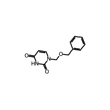 O=c1ccn(COCc2ccccc2)c(=O)[nH]1